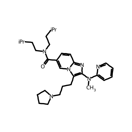 CC(C)CCN(CCC(C)C)C(=O)c1ccc2nc(N(C)c3ccccn3)c(CCCN3CCCC3)n2c1